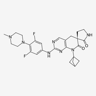 CN1CCN(c2c(F)cc(Nc3ncc4c(n3)N(C35CC(C3)C5)C(=O)[C@]3(CCNC3=O)C4)cc2F)CC1